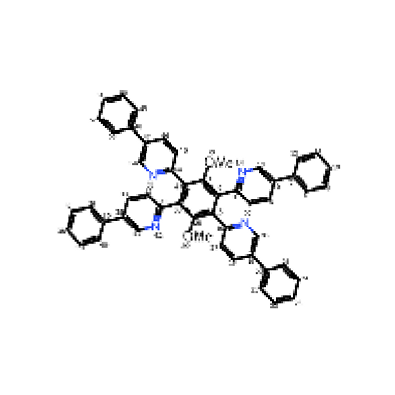 COc1c(-c2ccc(-c3ccccc3)cn2)c(-c2ccc(-c3ccccc3)cn2)c(OC)c(-c2ccc(-c3ccccc3)cn2)c1-c1ccc(-c2ccccc2)cn1